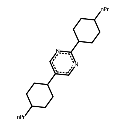 CCCC1CCC(c2cnc(C3CCC(CCC)CC3)nc2)CC1